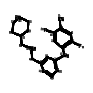 N#Cc1cc(F)c(Nc2cc(CNCC3CCNCC3)ncn2)cc1F